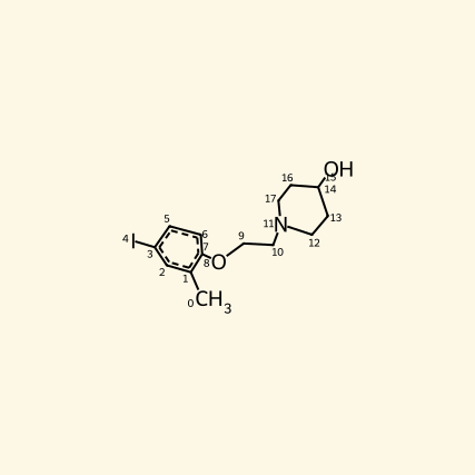 Cc1cc(I)ccc1OCCN1CCC(O)CC1